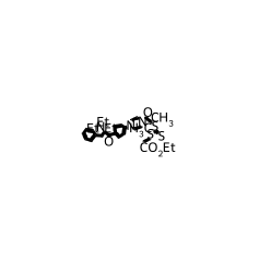 CCOC(=O)CCSC(=S)SC(C)(C)C(=O)N1CCN(c2ccc(C(=O)C(CC)(Cc3ccccc3)N(CC)CC)cc2)CC1